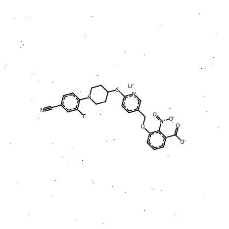 N#Cc1ccc(N2CCC(Sc3ccc(COc4cccc(C(=O)[O-])c4[N+](=O)[O-])cn3)CC2)c(F)c1.[Li+]